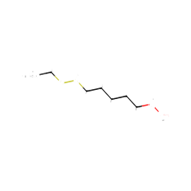 CCCCCCCSSCCCCCOO